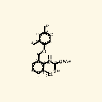 CCc1cccc(COc2ccc(C)cc2C)c1NC(=S)OC